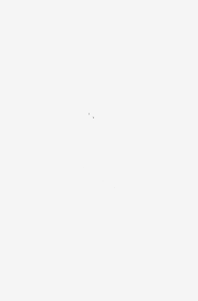 N#C[S][Ru]